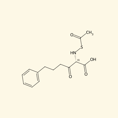 CC(=O)SN[C@H](C(=O)O)C(=O)CCCc1ccccc1